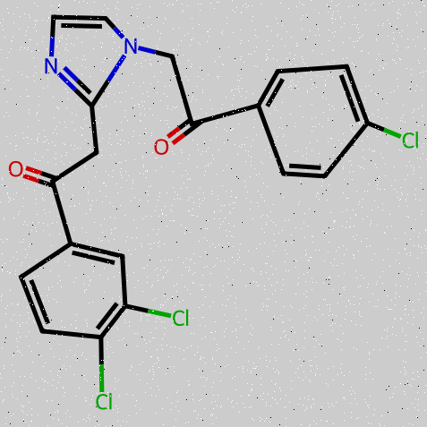 O=C(Cc1nccn1CC(=O)c1ccc(Cl)cc1)c1ccc(Cl)c(Cl)c1